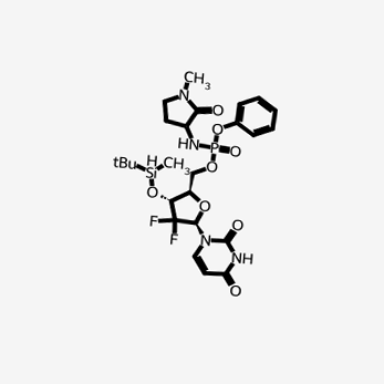 CN1CCC(NP(=O)(OC[C@H]2O[C@@H](n3ccc(=O)[nH]c3=O)C(F)(F)[C@@H]2O[SiH](C)C(C)(C)C)Oc2ccccc2)C1=O